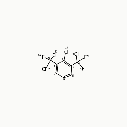 FC(F)(Cl)c1cccc(C(F)(Cl)Cl)c1Cl